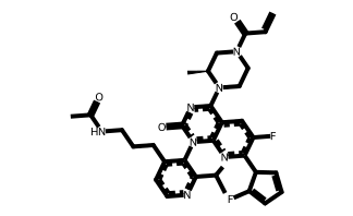 C=CC(=O)N1CCN(c2nc(=O)n(-c3c(CCCNC(C)=O)ccnc3C(C)C)c3nc(C4C=CC=C4F)c(F)cc23)[C@@H](C)C1